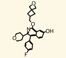 Oc1ccc2c(-c3ccc(F)cc3)c(C3CCOCC3)nc(OCC3CC4(COC4)C3)c2c1